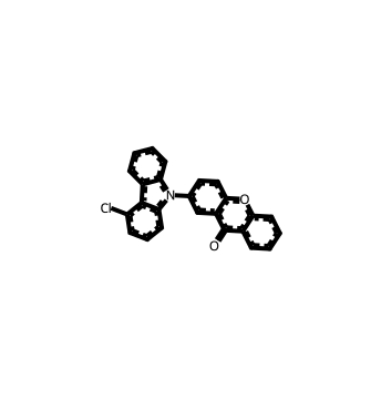 O=c1c2ccccc2oc2ccc(-n3c4ccccc4c4c(Cl)cccc43)cc12